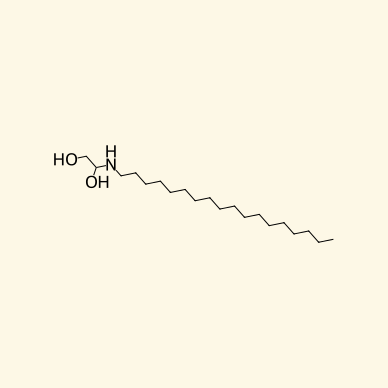 CCCCCCCCCCCCCCCCCCNC(O)CO